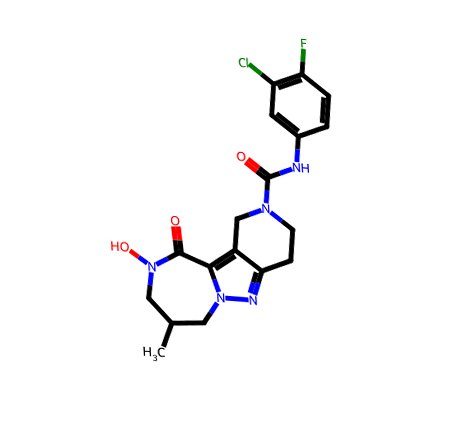 CC1CN(O)C(=O)c2c3c(nn2C1)CCN(C(=O)Nc1ccc(F)c(Cl)c1)C3